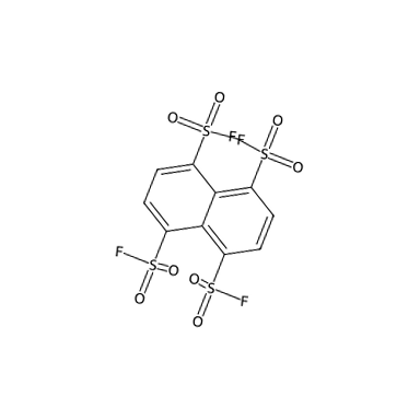 O=S(=O)(F)c1ccc(S(=O)(=O)F)c2c(S(=O)(=O)F)ccc(S(=O)(=O)F)c12